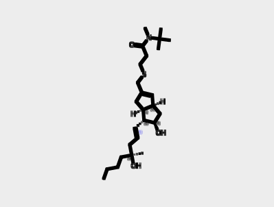 CCCC[C@](C)(O)C/C=C/[C@@H]1[C@H]2CC(CSCCC(=O)N(C)C(C)(C)C)=C[C@H]2C[C@H]1O